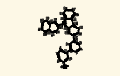 Brc1cccc(-c2cccc(-c3ccc4c5ccccc5n(-c5ccc6ccccc6c5)c4c3)c2)c1